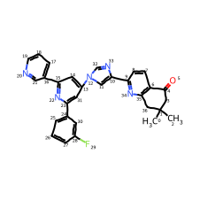 CC1(C)CC(=O)c2ccc(-c3cn(-c4cc(-c5cccnc5)nc(-c5cccc(F)c5)c4)cn3)nc2C1